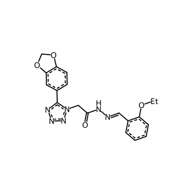 CCOc1ccccc1C=NNC(=O)Cn1nnnc1-c1ccc2c(c1)OCO2